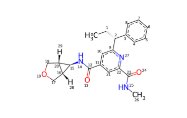 CC[C@H](c1ccccc1)c1cc(C(=O)N[C@H]2[C@@H]3COC[C@@H]32)cc(C(=O)NC)n1